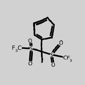 CC(c1ccccc1)(S(=O)(=O)C(F)(F)F)S(=O)(=O)C(F)(F)F